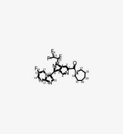 O=C(c1cc2c(cn1)c(-c1cnc3ncc(F)cn13)nn2C(F)C(F)F)N1CCCCCC1